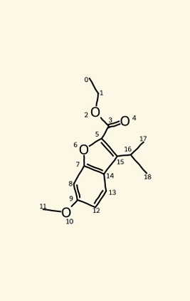 CCOC(=O)c1oc2cc(OC)ccc2c1C(C)C